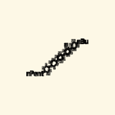 CCCCCC1CCC(C2CCC(c3ccc(-c4ccc(C5CCC(CCCC)CC5)c(F)c4)cc3)CC2)CC1